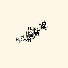 CCCCc1ncc(NC(=O)[C@@H](CS)N[C@@H](SC(C)=O)C(=O)CCCCN2C(=O)c3ccccc3C2=O)n1C